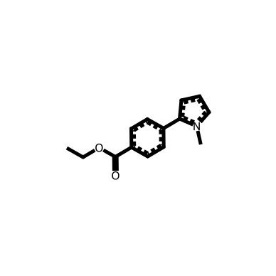 CCOC(=O)c1ccc(-c2cccn2C)cc1